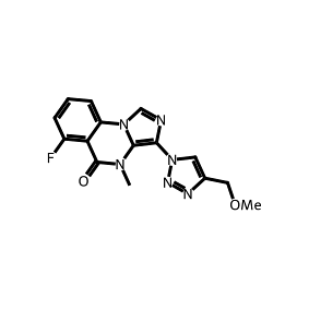 COCc1cn(-c2ncn3c4cccc(F)c4c(=O)n(C)c23)nn1